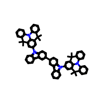 CC1(C)c2ccccc2N2c3ccccc3C(C)(C)c3cc(-n4c5ccccc5c5cc(-c6ccc7c(c6)c6ccccc6n7-c6cc7c8c(c6)C(C)(C)c6ccccc6N8c6ccccc6C7(C)C)ccc54)cc1c32